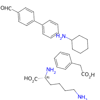 NC1CCCCC1.NCCCC[C@@H](N)C(=O)O.O=C(O)Cc1ccccc1.O=Cc1ccc(-c2ccccc2)cc1